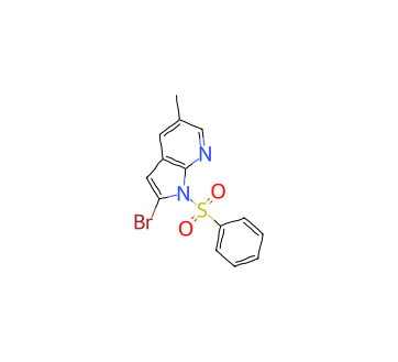 Cc1cnc2c(c1)cc(Br)n2S(=O)(=O)c1ccccc1